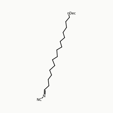 CCCCCCCCCCCCCCCCCCCCCCCCCC=NC#N